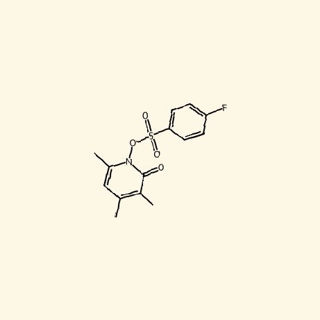 Cc1cc(C)n(OS(=O)(=O)c2ccc(F)cc2)c(=O)c1C